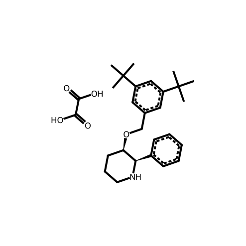 CC(C)(C)c1cc(CO[C@@H]2CCCN[C@@H]2c2ccccc2)cc(C(C)(C)C)c1.O=C(O)C(=O)O